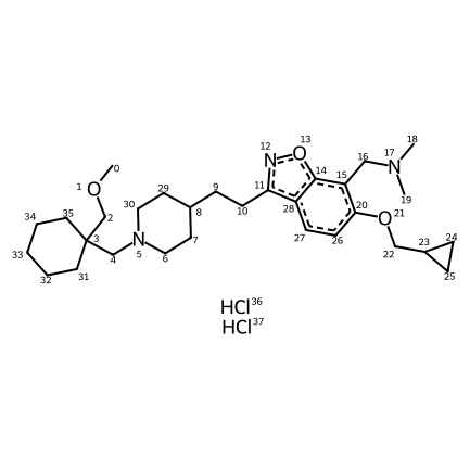 COCC1(CN2CCC(CCc3noc4c(CN(C)C)c(OCC5CC5)ccc34)CC2)CCCCC1.Cl.Cl